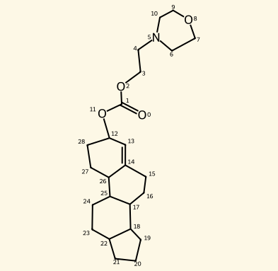 O=C(OCCN1CCOCC1)OC1C=C2CCC3C4CCCC4CCC3C2CC1